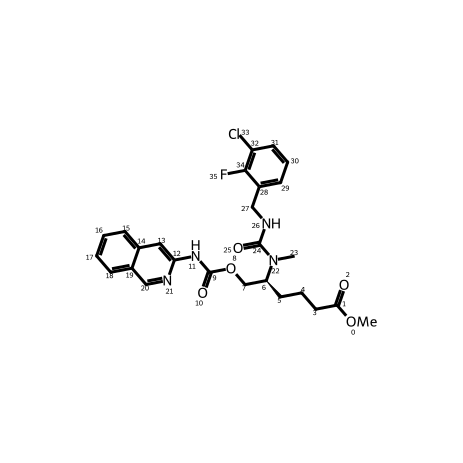 COC(=O)CCC[C@@H](COC(=O)Nc1cc2ccccc2cn1)N(C)C(=O)NCc1cccc(Cl)c1F